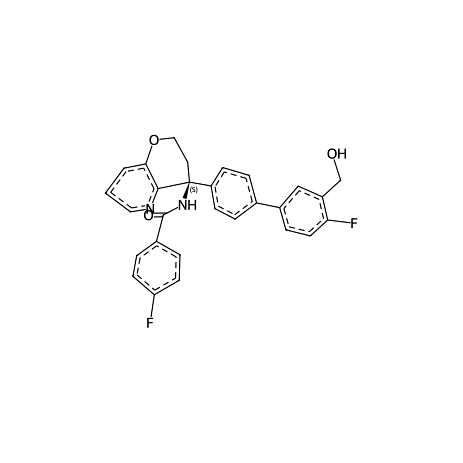 O=C(N[C@]1(c2ccc(-c3ccc(F)c(CO)c3)cc2)CCOc2cccnc21)c1ccc(F)cc1